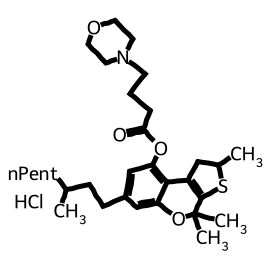 CCCCCC(C)CCc1cc(OC(=O)CCCN2CCOCC2)c2c(c1)OC(C)(C)C1=C2CC(C)S1.Cl